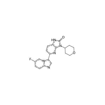 O=c1[nH]c2ccc(-c3cnc4ccc(F)cn34)nc2n1C1CCOCC1